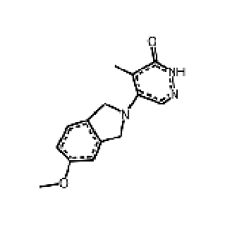 COc1ccc2c(c1)CN(c1cn[nH]c(=O)c1C)C2